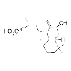 C=C1[C@@H](CC[C@@H](C)CC(=O)O)[C@]2(C)CCCC(C)(C)[C@H]2C[C@@H]1O